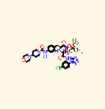 CC(C)(C)ONC(=O)[C@H](Cc1ccc(NC(=O)N2CCC(N3CCOCC3)CC2)cc1)NC(=O)C(=O)Nc1cc(Cl)ccc1-n1cnnn1